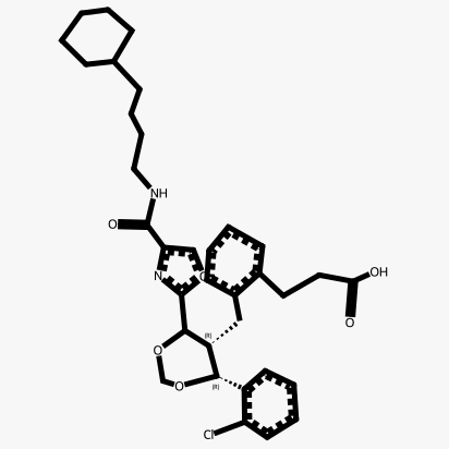 O=C(O)CCc1ccccc1C[C@H]1C(c2nc(C(=O)NCCCCC3CCCCC3)co2)OCO[C@H]1c1ccccc1Cl